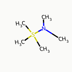 CN(C)S(C)(C)C